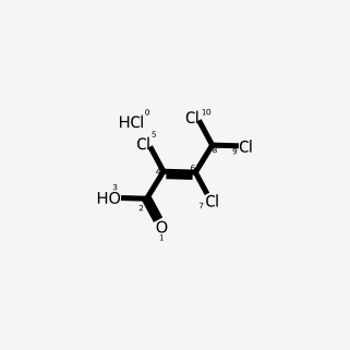 Cl.O=C(O)C(Cl)=C(Cl)C(Cl)Cl